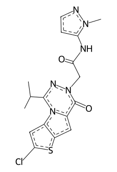 CC(C)c1nn(CC(=O)Nc2ccnn2C)c(=O)c2cc3sc(Cl)cc3n12